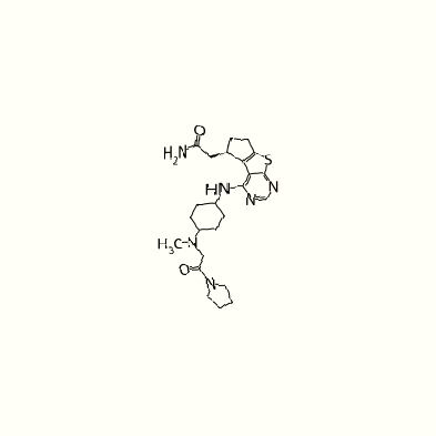 CN(CC(=O)N1CCCC1)C1CCC(Nc2ncnc3sc4c(c23)[C@@H](CC(N)=O)CC4)CC1